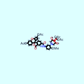 COc1ccc(NC(=O)c2ccc3c(c2)C(=O)OC32c3ccc(OC(C)=O)cc3Oc3cc(OC(C)=O)ccc32)cc1N(CC(=O)OCOC(C)=O)CC(=O)OCOC(C)=O